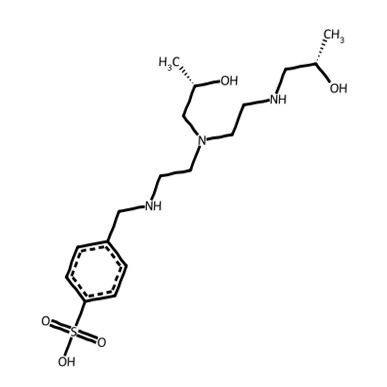 C[C@H](O)CNCCN(CCNCc1ccc(S(=O)(=O)O)cc1)C[C@H](C)O